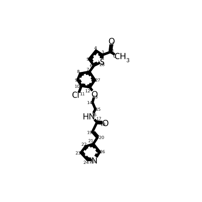 CC(=O)c1ccc(-c2ccc(Cl)c(OCCNC(=O)C=Cc3cccnc3)c2)s1